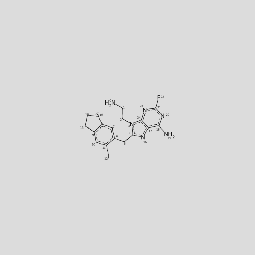 NCCn1c(Cc2cc3c(cc2I)CCS3)nc2c(N)nc(F)nc21